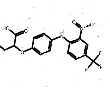 CCC(Oc1ccc(Nc2ccc(C(F)(F)F)cc2[N+](=O)[O-])cc1)C(=O)O